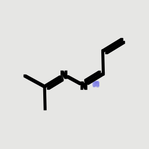 C=C/C=N\N=C(C)C